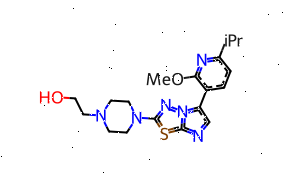 COc1nc(C(C)C)ccc1-c1cnc2sc(N3CCN(CCO)CC3)nn12